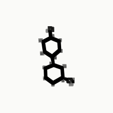 CCC1CCC([C@@H]2CCC[C@@H](C#N)C2)CC1